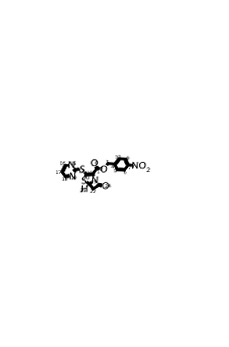 O=C(OCc1ccc([N+](=O)[O-])cc1)C1=C(Sc2ncccn2)S[C@@H]2CC(=O)N12